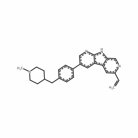 C=Cc1cc2c(cn1)[nH]c1ncc(-c3ccc(CC4CCN(C)CC4)cc3)cc12